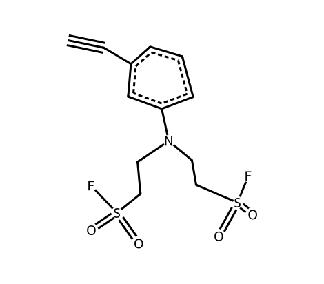 C#Cc1cccc(N(CCS(=O)(=O)F)CCS(=O)(=O)F)c1